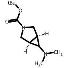 CN(C)C1[C@H]2CN(C(=O)OC(C)(C)C)C[C@@H]12